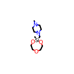 CN1CCN(C[Si]2(C)OCCOCCO2)CC1